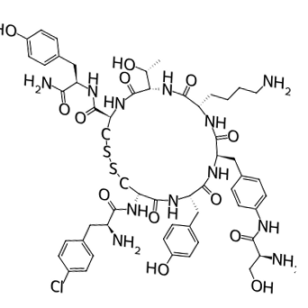 C[C@@H](O)[C@@H]1NC(=O)[C@H](CCCCN)NC(=O)[C@@H](Cc2ccc(NC(=O)[C@@H](N)CO)cc2)NC(=O)[C@H](Cc2ccc(O)cc2)NC(=O)[C@H](NC(=O)[C@@H](N)Cc2ccc(Cl)cc2)CSSC[C@@H](C(=O)N[C@H](Cc2ccc(O)cc2)C(N)=O)NC1=O